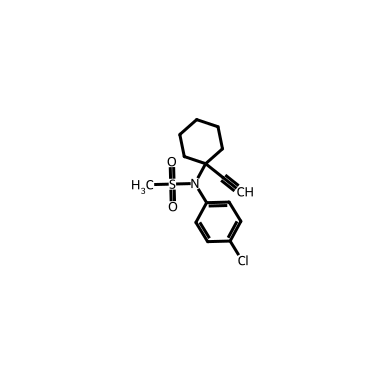 C#CC1(N(c2ccc(Cl)cc2)S(C)(=O)=O)CCCCC1